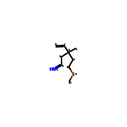 C=CC(C)(CC=N)CCSC